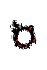 CC[C@H](C)[C@@H]1NC(=O)[C@H](CC(C)C)N(C)C(=O)C[C@@H](C(=O)N(C)C)N(C)C(=O)[C@H](C2CCCC2)N(C)C(=O)C2(CCCC2)NC(=O)[C@H](Cc2ccncc2)N(C)C(=O)[C@H](CCc2ccc(C(F)(F)F)c(Cl)c2)NC(=O)CN(C)C(=O)[C@H](CC2CCCCC2)N(C)C(=O)[C@@H]2CCN2C(=O)[C@H](C)N(C)C1=O